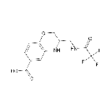 O=C(O)c1ccc2c(c1)NC(CNC(=O)C(F)(F)F)CO2